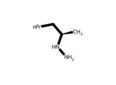 CCCC[C@@H](C)NN